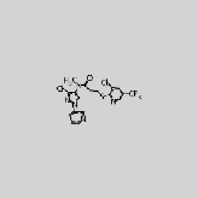 CN(C(=O)CCSc1ncc(C(F)(F)F)cc1Cl)c1cn(-c2cccnc2)nc1Cl